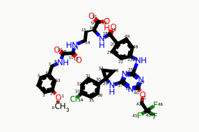 COc1cccc(CNC(=O)C(=O)NCC[C@H](NC(=O)c2ccc(Nc3nc(NC4(c5ccc(Cl)cc5)CC4)nc(OCC(F)(F)F)n3)cc2)C(=O)O)c1